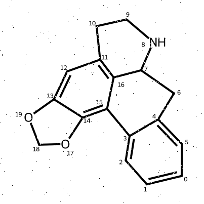 c1ccc2c(c1)CC1NCCc3cc4c(c-2c31)OCO4